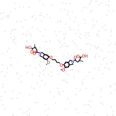 COc1cc2c(cc1OCCCCOc1cc3c(cc1OC)CN(C(=O)C[C@H](C)C(O)O)C3)CN(C(=O)C[C@H](C)C(=O)O)C2